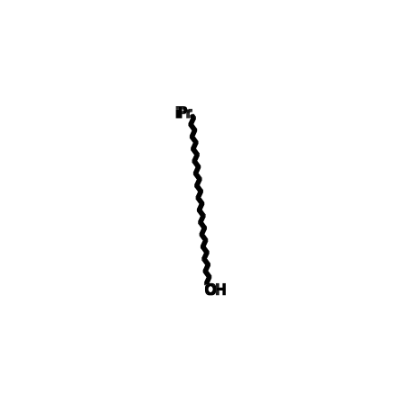 CC(C)CCCCCCCCCCCCCCCCCCCCCCCCCCCCO